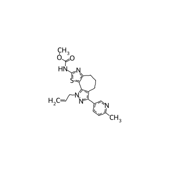 C=CCn1nc(-c2ccc(C)nc2)c2c1-c1sc(NC(=O)OC)nc1CCC2